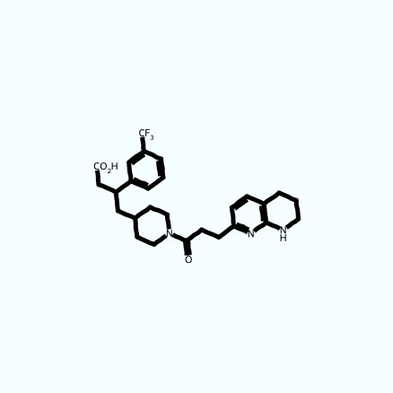 O=C(O)CC(CC1CCN(C(=O)CCc2ccc3c(n2)NCCC3)CC1)c1cccc(C(F)(F)F)c1